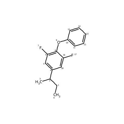 CCC(C)c1cc(F)c(Oc2ccccc2)c(F)c1